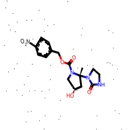 C[C@@]1(N2CCNC2=O)C[C@@H](O)CN1C(=O)OCc1ccc([N+](=O)[O-])cc1